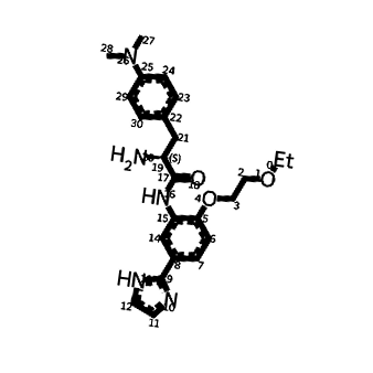 CCOCCOc1ccc(-c2ncc[nH]2)cc1NC(=O)[C@@H](N)Cc1ccc(N(C)C)cc1